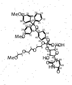 COCCOCCOCCOP(=O)(Oc1ccc(COC(c2ccccc2)(c2ccc(OC)cc2)c2ccc(OC)cc2)cc1)OC1C(O)[C@H](n2ccc(=O)[nH]c2=O)O[C@@H]1CO